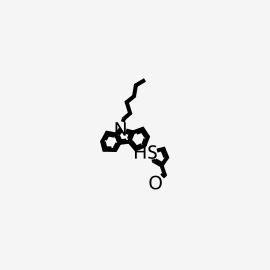 CCCCCCn1c2ccccc2c2cc([SH]3C=CC(C=O)=C3)ccc21